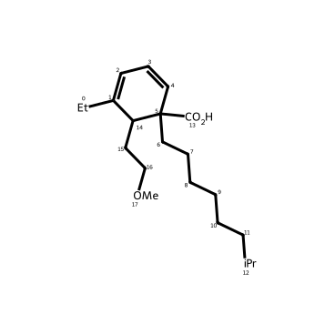 CCC1=CC=CC(CCCCCCC(C)C)(C(=O)O)C1CCOC